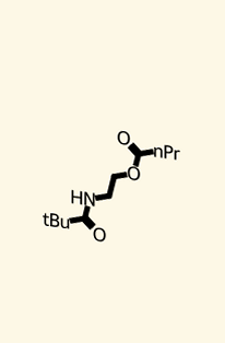 CCCC(=O)OCCNC(=O)C(C)(C)C